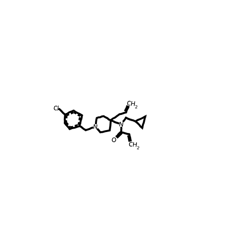 C=CCC1(N(CC2CC2)C(=O)C=C)CCN(Cc2ccc(Cl)cc2)CC1